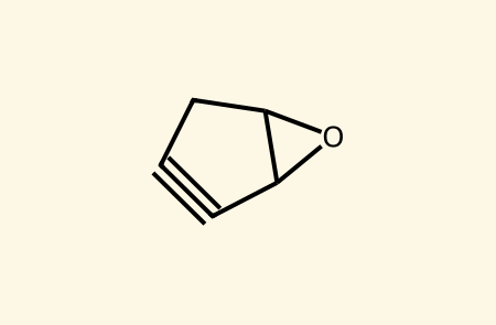 C1#CC2OC2C1